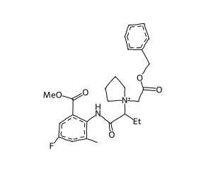 CCC(C(=O)Nc1c(C)cc(F)cc1C(=O)OC)[N+]1(CC(=O)OCc2ccccc2)CCCC1